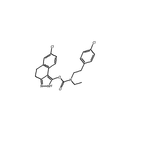 CCN(CCc1ccc(Cl)cc1)C(=O)Oc1[nH]nc2c1-c1ccc(Cl)cc1CC2